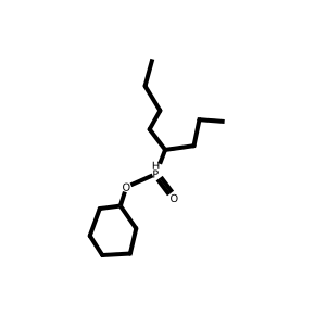 CCCCC(CCC)[PH](=O)OC1CCCCC1